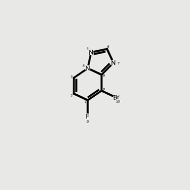 Fc1ccn2ncnc2c1Br